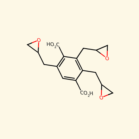 O=C(O)c1cc(CC2CO2)c(C(=O)O)c(CC2CO2)c1CC1CO1